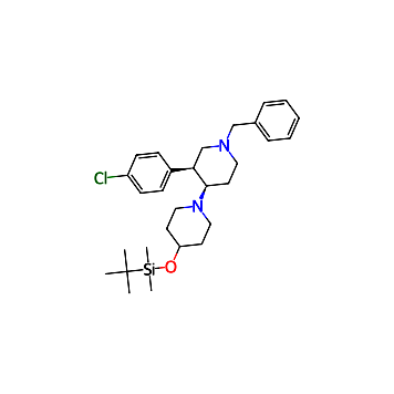 CC(C)(C)[Si](C)(C)OC1CCN([C@@H]2CCN(Cc3ccccc3)C[C@@H]2c2ccc(Cl)cc2)CC1